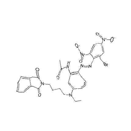 CCN(CCCCN1C(=O)c2ccccc2C1=O)c1ccc(/N=N/c2c(Br)cc([N+](=O)[O-])cc2[N+](=O)[O-])c(NC(C)=O)c1